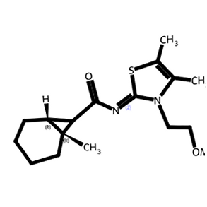 COCCn1c(C)c(C)s/c1=N\C(=O)C1[C@H]2CCCC[C@@]12C